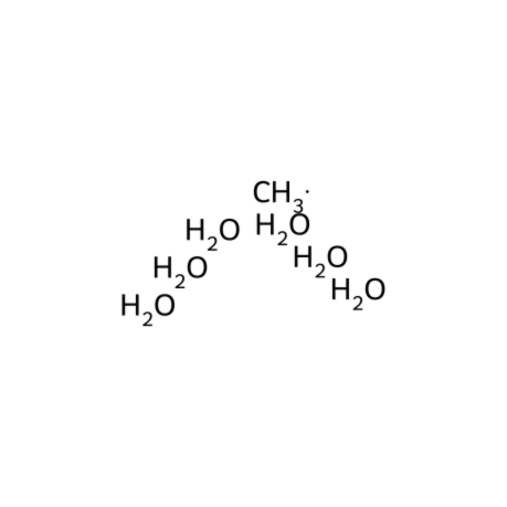 O.O.O.O.O.O.[CH3]